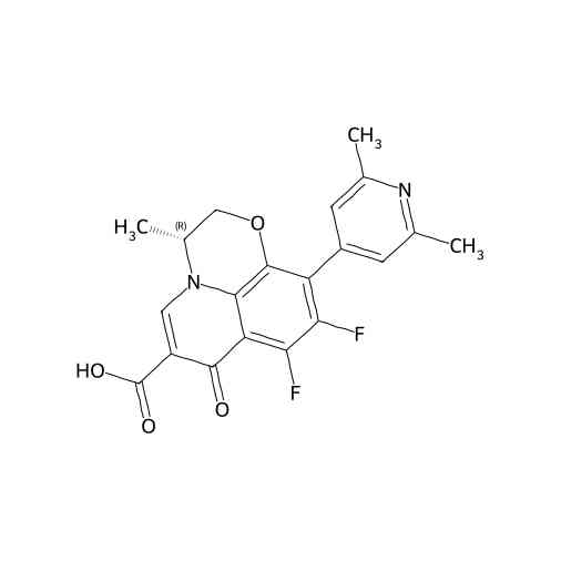 Cc1cc(-c2c(F)c(F)c3c(=O)c(C(=O)O)cn4c3c2OC[C@H]4C)cc(C)n1